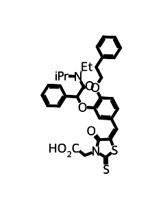 CCN(C(=O)C(Oc1cc(C=C2SC(=S)N(CC(=O)O)C2=O)ccc1OCCc1ccccc1)c1ccccc1)C(C)C